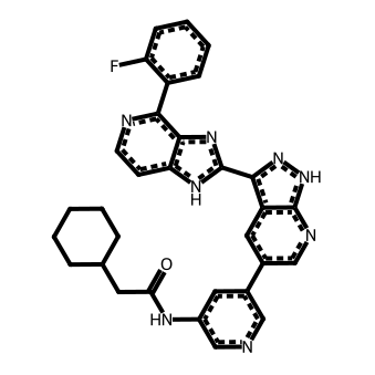 O=C(CC1CCCCC1)Nc1cncc(-c2cnc3[nH]nc(-c4nc5c(-c6ccccc6F)nccc5[nH]4)c3c2)c1